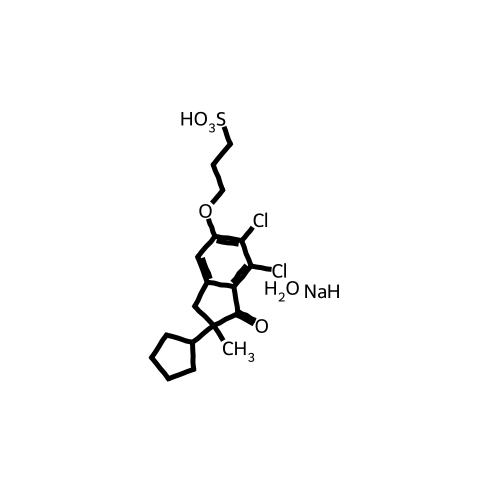 CC1(C2CCCC2)Cc2cc(OCCCS(=O)(=O)O)c(Cl)c(Cl)c2C1=O.O.[NaH]